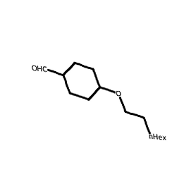 CCCCCCCCOC1CCC(C=O)CC1